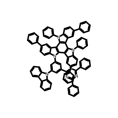 c1ccc(-c2ccc3c(c2)c2c(c4c5cc(-c6ccccc6)ccc5n(-c5cc(-c6nc(-c7ccccc7)nc(-c7ccccc7)n6)cc(-n6c7ccccc7c7ccccc76)c5)c4c4c5cc(-c6ccccc6)ccc5n(-c5ccccc5)c24)n3-c2ccccc2)cc1